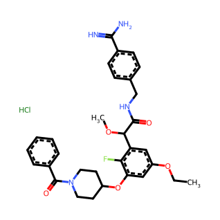 CCOc1cc(OC2CCN(C(=O)c3ccccc3)CC2)c(F)c(C(OC)C(=O)NCc2ccc(C(=N)N)cc2)c1.Cl